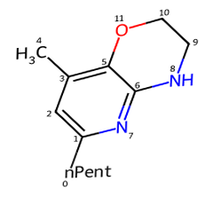 CCCCCc1cc(C)c2c(n1)NCCO2